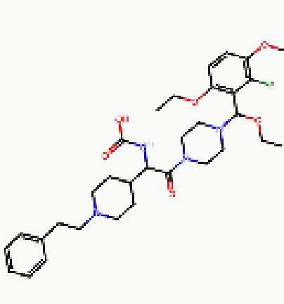 CCOc1ccc(OC)c(F)c1C(OCC)N1CCN(C(=O)C(NC(=O)O)C2CCN(CCc3ccccc3)CC2)CC1